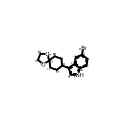 Brc1ccc2[nH]cc(C3CCC4(CC3)OCCO4)c2c1